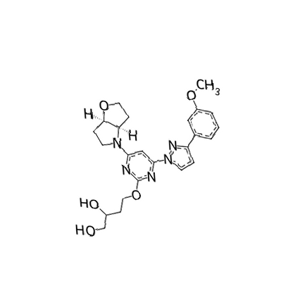 COc1cccc(-c2ccn(-c3cc(N4CC[C@H]5OCC[C@H]54)nc(OCCC(O)CO)n3)n2)c1